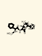 CC1(C)S[C@H]2C(NC(=O)C(NS(=O)(=O)O)c3ccccc3)C(=O)N2C1c1nnn[nH]1